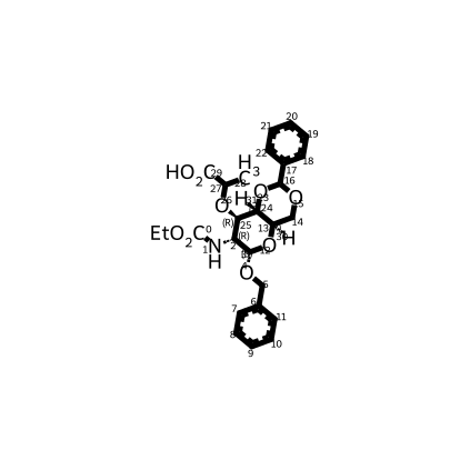 CCOC(=O)N[C@H]1[C@@H](OCc2ccccc2)O[C@@H]2COC(c3ccccc3)O[C@H]2[C@@H]1OC(C)C(=O)O